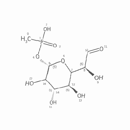 CP(=O)(O)O[C@@H]1OC([C@H](O)C=O)[C@@H](O)[C@H](O)C1O